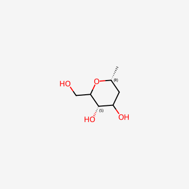 C[C@@H]1CC(O)[C@H](O)C(CO)O1